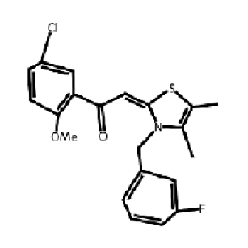 COc1ccc(Cl)cc1C(=O)C=C1SC(C)=C(C)N1Cc1cccc(F)c1